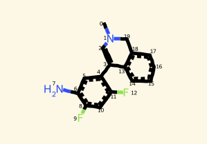 CN1C=C(c2cc(N)c(F)cc2F)c2ccccc2C1